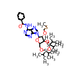 CSCO[C@H]1C(n2cnc3c(NC(=O)c4ccccc4)ncnc32)OC2CO[Si](C(C)C)(C(C)C)O[Si](C(C)C)(C(C)C)O[C@H]21